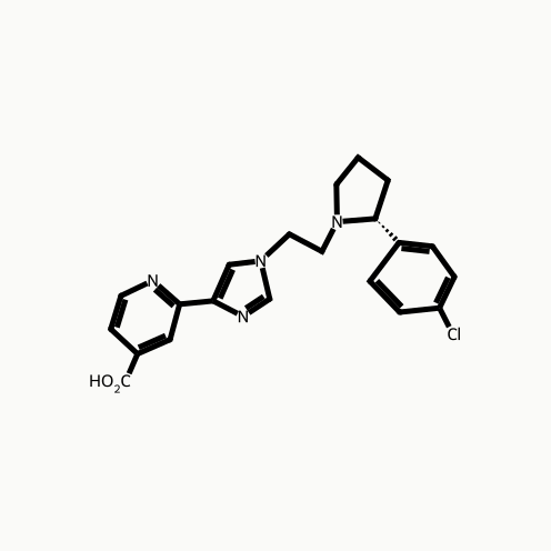 O=C(O)c1ccnc(-c2cn(CCN3CCC[C@@H]3c3ccc(Cl)cc3)cn2)c1